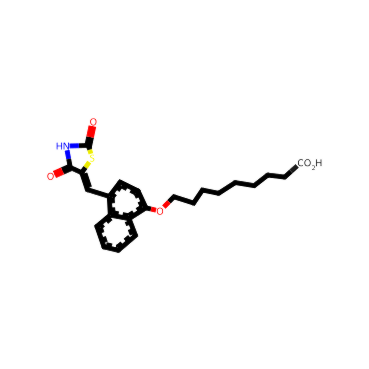 O=C(O)CCCCCCCCOc1ccc(/C=C2\SC(=O)NC2=O)c2ccccc12